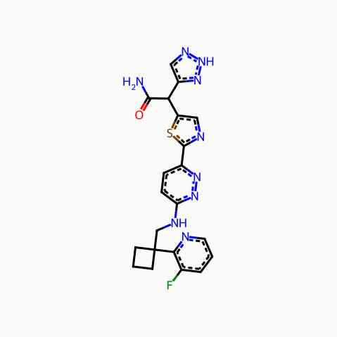 NC(=O)C(c1cn[nH]n1)c1cnc(-c2ccc(NCC3(c4ncccc4F)CCC3)nn2)s1